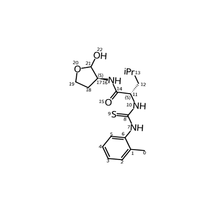 Cc1ccccc1NC(=S)N[C@@H](CC(C)C)C(=O)N[C@H]1CCOC1O